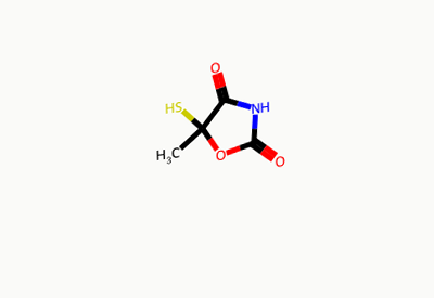 CC1(S)OC(=O)NC1=O